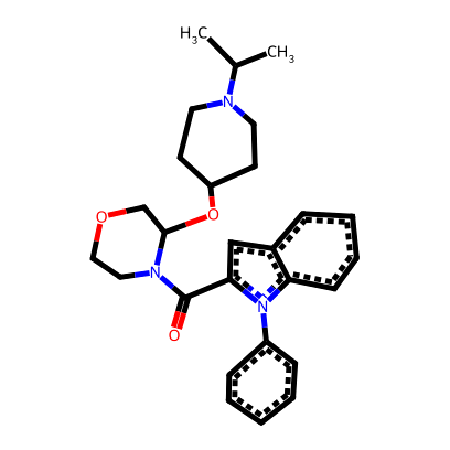 CC(C)N1CCC(OC2COCCN2C(=O)c2cc3ccccc3n2-c2ccccc2)CC1